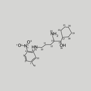 Cc1ccc([N+](=O)[O-])c(NCCCC(N)C(O)C2CCCCC2)c1